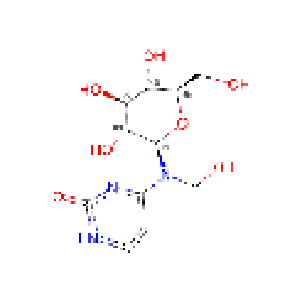 O=c1nc(N(CO)[C@@H]2O[C@H](CO)[C@@H](O)[C@H](O)[C@H]2O)cc[nH]1